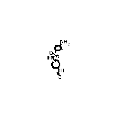 Nc1ccc(S(=O)(=O)NN2CCC(NC=O)CC2)cc1